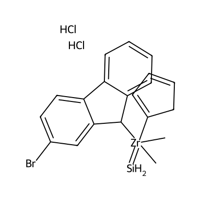 Cl.Cl.[CH3][Zr]([CH3])(=[SiH2])([C]1=CC=CC1)[CH]1c2ccccc2-c2ccc(Br)cc21